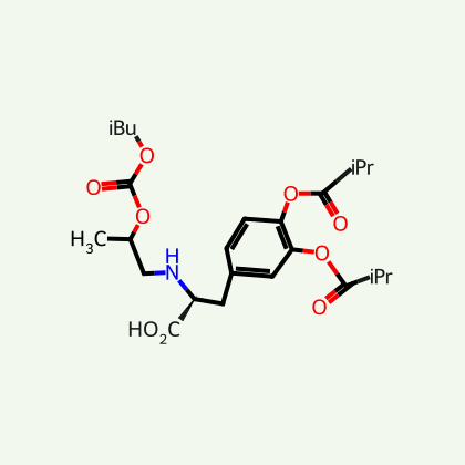 CCC(C)OC(=O)OC(C)CN[C@@H](Cc1ccc(OC(=O)C(C)C)c(OC(=O)C(C)C)c1)C(=O)O